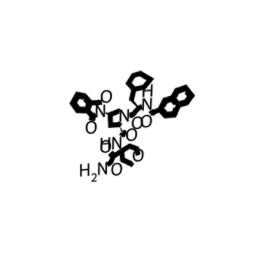 NC(=O)C(=O)C1(NC(=O)[C@@H]2C[C@H](N3C(=O)c4ccccc4C3=O)CN2C(=O)[C@@H](CC2CCCCC2)NC(=O)c2ccc3ccccc3c2)CCOCC1